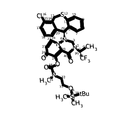 C[C@@H](N1CN([C@@H]2c3ccccc3SCc3c(Cl)cccc32)n2ccc(=O)c(OC(=O)N(C)CCO[Si](C)(C)C(C)(C)C)c2C1=O)C(F)(F)F